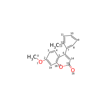 COc1ccc2c(-c3ccccc3C)cc(=O)oc2c1